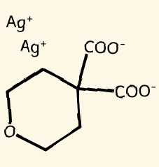 O=C([O-])C1(C(=O)[O-])CCOCC1.[Ag+].[Ag+]